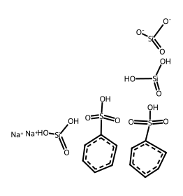 O=S(=O)(O)c1ccccc1.O=S(=O)(O)c1ccccc1.O=[Si](O)O.O=[Si](O)O.O=[Si]([O-])[O-].[Na+].[Na+]